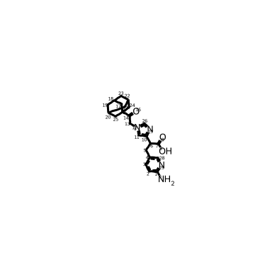 Nc1ccc(CC(C(=O)O)c2cn(CC(=O)C34CC5CC(CC(C5)C3)C4)cn2)cn1